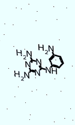 Nc1cccc(Nc2nc(N)nc(N)n2)c1